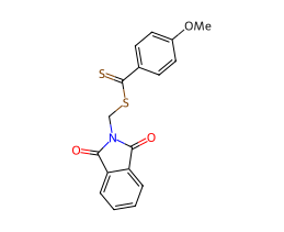 COc1ccc(C(=S)SCN2C(=O)c3ccccc3C2=O)cc1